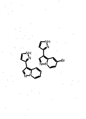 Brc1ccn2ncc(-c3cc[nH]n3)c2c1.c1ccn2ncc(-c3cc[nH]n3)c2c1